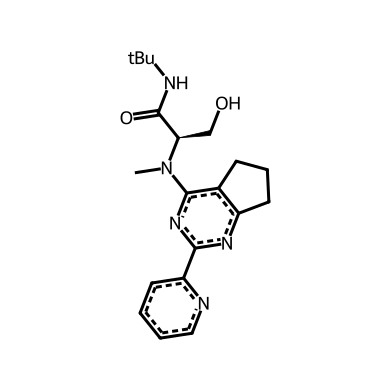 CN(c1nc(-c2ccccn2)nc2c1CCC2)[C@H](CO)C(=O)NC(C)(C)C